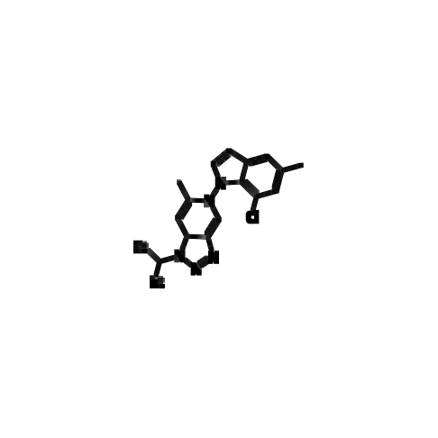 CCC(CC)N1N=NC2=CN(n3ccc4cc(C)cc(Cl)c43)C(C)=CC21